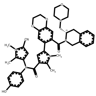 Cc1c(N(C(=O)c2cc(-c3cc4c(cc3C(=O)N3Cc5ccccc5C[C@H]3CN3CCOCC3)OCCO4)n(C)c2C)c2ccc(O)cc2)cc(C#N)n1C